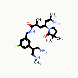 CN/C=C(\CN)c1cc(F)cc(CNC(=O)C(C)/C=C(\C=C(\C)N)N2CCC(C)(C)C2=O)c1